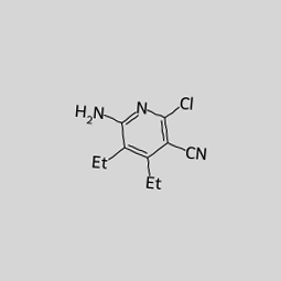 CCc1c(N)nc(Cl)c(C#N)c1CC